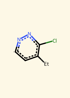 CCc1c[c]nnc1Cl